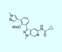 COc1c(-c2cnn(C)c2)cccc1-c1nn(C)c2cnc(NC(=O)C3CC3)cc12